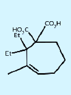 CCC1(CC)C(C)=CCCCC1(C(=O)O)C(=O)O